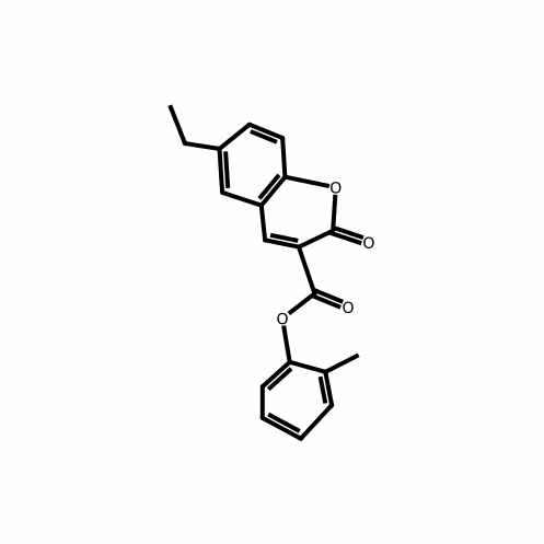 CCc1ccc2oc(=O)c(C(=O)Oc3ccccc3C)cc2c1